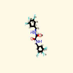 O=C(NCc1cc(F)c(F)c(F)c1)C(=O)NCc1cc(F)c(F)c(F)c1